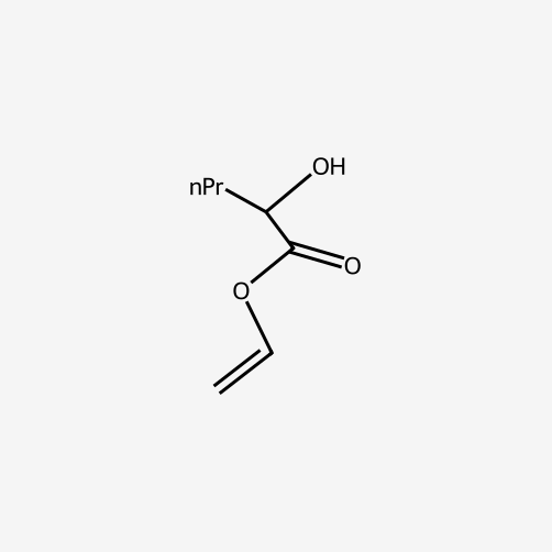 C=COC(=O)C(O)CCC